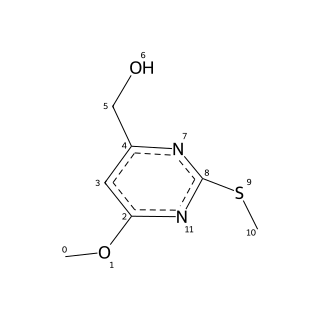 COc1cc(CO)nc(SC)n1